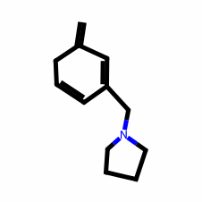 C=C1C=C(CN2CCCC2)C=CC1